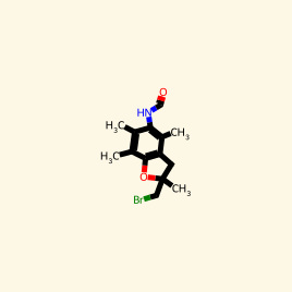 Cc1c(C)c2c(c(C)c1NC=O)CC(C)(CBr)O2